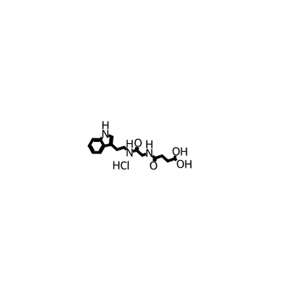 Cl.O=C(CCC(O)O)NCC(=O)NCCc1c[nH]c2ccccc12